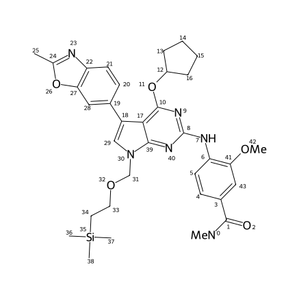 CNC(=O)c1ccc(Nc2nc(OC3CCCC3)c3c(-c4ccc5nc(C)oc5c4)cn(COCC[Si](C)(C)C)c3n2)c(OC)c1